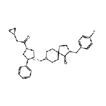 O=C(CC1CC1)N1CC(c2ccccc2)[C@@H](CN2CCC3(CC2)CCN(Cc2ccc(F)cc2)C3=O)C1